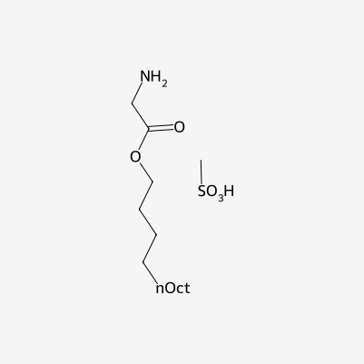 CCCCCCCCCCCCOC(=O)CN.CS(=O)(=O)O